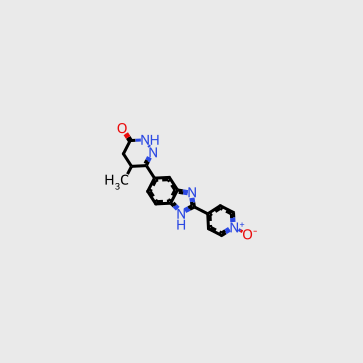 CC1CC(=O)NN=C1c1ccc2[nH]c(-c3cc[n+]([O-])cc3)nc2c1